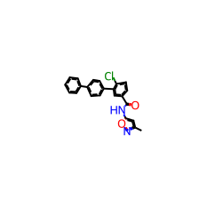 Cc1cc(NC(=O)c2ccc(Cl)c(-c3ccc(-c4ccccc4)cc3)c2)on1